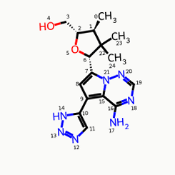 C[C@@H]1[C@@H](CO)O[C@@H](c2cc(-c3cnn[nH]3)c3c(N)ncnn23)C1(C)C